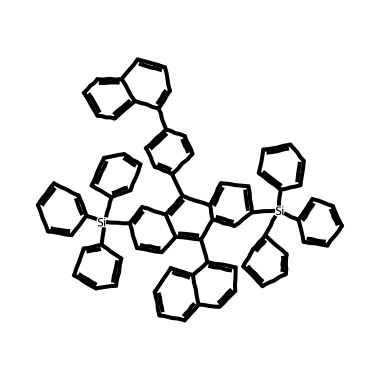 c1ccc([Si](c2ccccc2)(c2ccccc2)c2ccc3c(-c4cccc5ccccc45)c4cc([Si](c5ccccc5)(c5ccccc5)c5ccccc5)ccc4c(-c4ccc(-c5cccc6ccccc56)cc4)c3c2)cc1